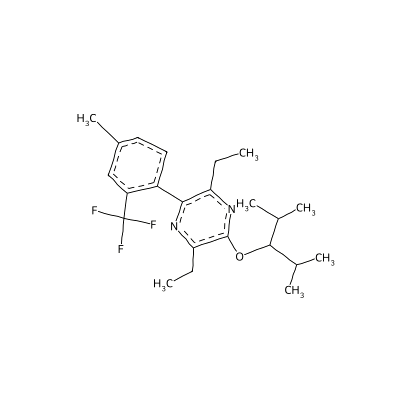 CCc1nc(-c2ccc(C)cc2C(F)(F)F)c(CC)nc1OC(C(C)C)C(C)C